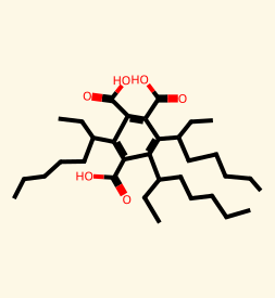 CCCCCC(CC)c1c(C(=O)O)c(C(=O)O)c(C(CC)CCCCC)c(C(CC)CCCCC)c1C(=O)O